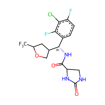 O=C1NCC(C(=O)N[C@@H](c2ccc(F)c(Cl)c2F)C2COC(C(F)(F)F)C2)N1